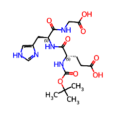 CC(C)(C)OC(=O)N[C@@H](CCC(=O)O)C(=O)N[C@@H](Cc1c[nH]cn1)C(=O)NCC(=O)O